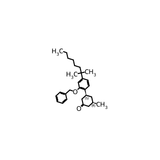 CCCCCCC(C)(C)c1ccc([C@@H]2CC(=O)C[C@H](C)C2)c(OCc2ccccc2)c1